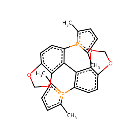 Cc1ccc(C)p1-c1ccc2c(c1-c1c(-p3c(C)ccc3C)ccc3c1OCO3)OCO2